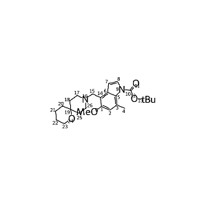 COc1cc(C)c2c(ccn2C(=O)OC(C)(C)C)c1CN1CCC2(CCCCO2)CC1